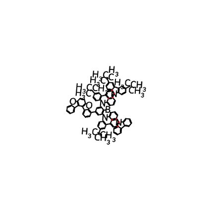 CC(C)(C)c1ccc(N2c3cc(-n4c5ccccc5c5ccccc54)ccc3B3c4ccc(-n5c6ccc(C(C)(C)C)cc6c6cc(C(C)(C)C)ccc65)cc4N(c4ccc(C(C)(C)C)cc4-c4ccccc4)c4cc(-c5cccc6c5oc5ccc7oc8ccccc8c7c56)cc2c43)c(-c2ccccc2)c1